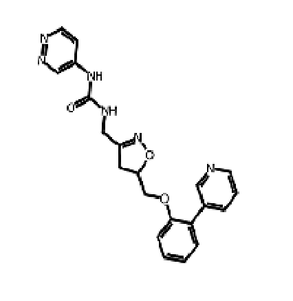 O=C(NCC1=NOC(COc2ccccc2-c2cccnc2)C1)Nc1ccnnc1